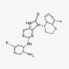 Nc1ccc(F)cc1Nc1ncc2[nH]c(=O)n(C3CCOc4c(F)cccc43)c2n1